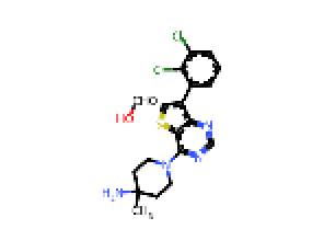 CC1(N)CCN(c2ncnc3c(-c4cccc(Cl)c4Cl)csc23)CC1.O=CO